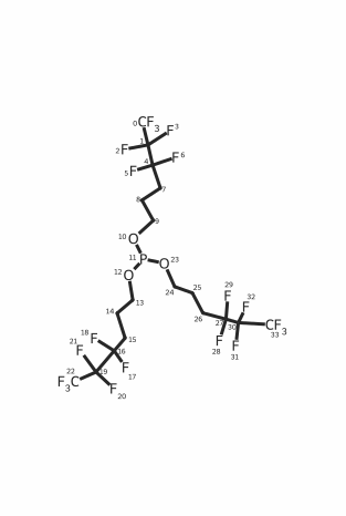 FC(F)(F)C(F)(F)C(F)(F)CCCOP(OCCCC(F)(F)C(F)(F)C(F)(F)F)OCCCC(F)(F)C(F)(F)C(F)(F)F